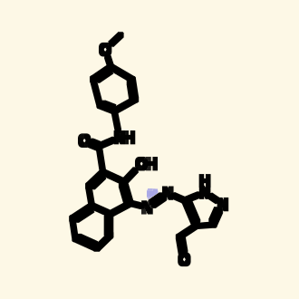 COc1ccc(NC(=O)c2cc3ccccc3c(/N=N/c3[nH]ncc3C=O)c2O)cc1